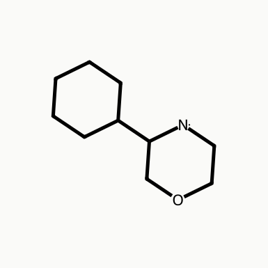 C1CCC(C2COCC[N]2)CC1